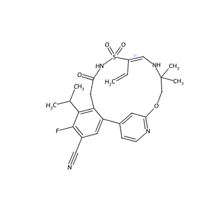 C=C/C1=C\NC(C)(C)COc2cc(ccn2)-c2cc(C#N)c(F)c(C(C)C)c2CC(=O)NS1(=O)=O